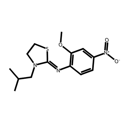 COc1cc([N+](=O)[O-])ccc1/N=C1\SCCN1CC(C)C